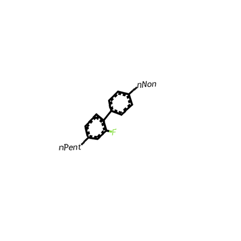 CCCCCCCCCc1ccc(-c2ccc(CCCCC)cc2F)cc1